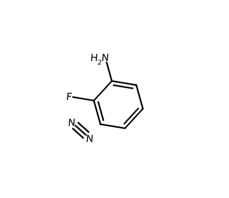 N#N.Nc1ccccc1F